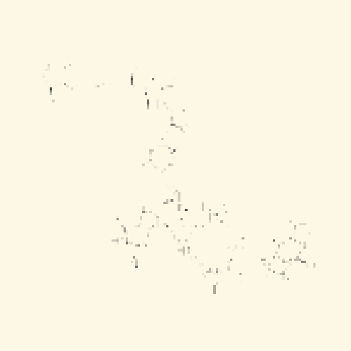 CC(C)[C@H](NC(=O)CCCCCN1C(=O)C=CC1=O)C(=O)N[C@@H](C)C(=O)Nc1ccc(COC(=O)NC2[C@H]3OP(=O)(S)OC[C@H]4O[C@@H](n5cnc6c(=O)[nH]c(N)nc65)[C@@H](O)[C@H]4OP(=O)(S)OC[C@H]3O[C@H]2n2cnc3c(=O)[nH]c(N)nc32)cc1